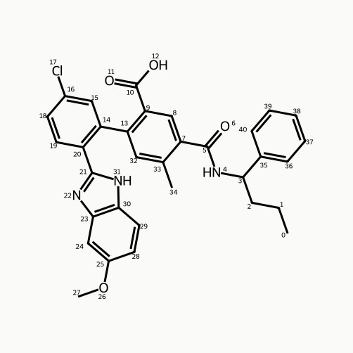 CCCC(NC(=O)c1cc(C(=O)O)c(-c2cc(Cl)ccc2-c2nc3cc(OC)ccc3[nH]2)cc1C)c1ccccc1